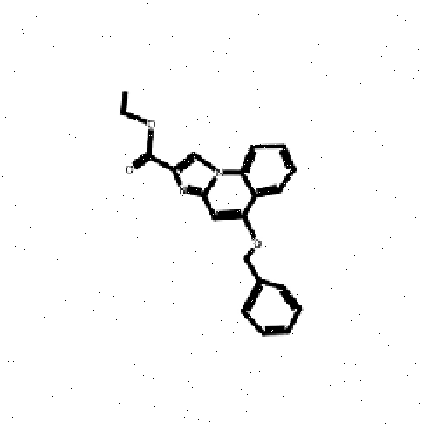 CCOC(=O)c1cn2c(cc(OCc3ccccc3)c3ccccc32)n1